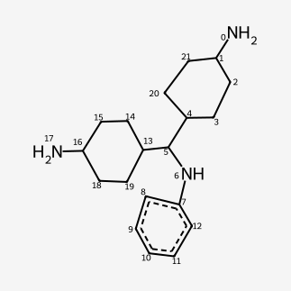 NC1CCC(C(Nc2ccccc2)C2CCC(N)CC2)CC1